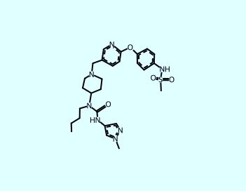 CCCCN(C(=O)Nc1cnn(C)c1)C1CCN(Cc2ccc(Oc3ccc(NS(C)(=O)=O)cc3)nc2)CC1